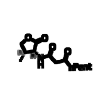 CCCCCC(=O)CC(=O)N[C@H]1C(=O)OC[C@H]1C